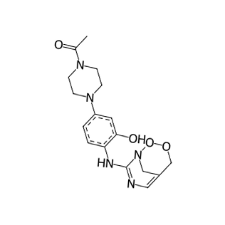 CC(=O)N1CCN(c2ccc(NC3=NC=C4COON3C4)c(O)c2)CC1